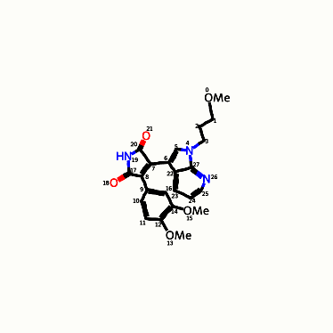 COCCCn1cc(C2=C(c3ccc(OC)c(OC)c3)C(=O)NC2=O)c2cccnc21